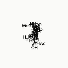 CNC(=N)NCCC[C@H](NC(=O)[C@H](CC(C)C)NC(=O)NNC(=O)[C@H](Cc1ccc(Cl)cc1)NC(=O)C(NC(=O)[C@H](CC(N)=O)NC(=O)CNC(=O)[C@@H](Cc1ccc(O)cc1)NC(C)=O)[C@@H](C)O)C(=O)N[C@@H](Cc1c[nH]c2ccccc12)C(N)=O